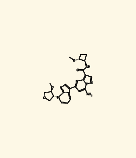 CO[C@@H]1COC[C@H]1n1cccc2c(-c3cc(N)n4ncc(C(=O)N[C@@H]5CC[C@H]5OC)c4n3)cnc1-2